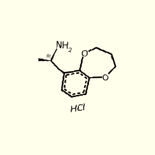 C[C@@H](N)c1cccc2c1OCCCO2.Cl